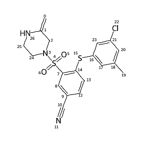 C=C1CN(S(=O)(=O)c2cc(C#N)ccc2Sc2cc(C)cc(Cl)c2)CCN1